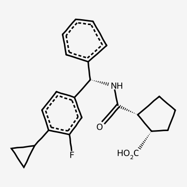 O=C(O)[C@H]1CCC[C@H]1C(=O)N[C@@H](c1ccccc1)c1ccc(C2CC2)c(F)c1